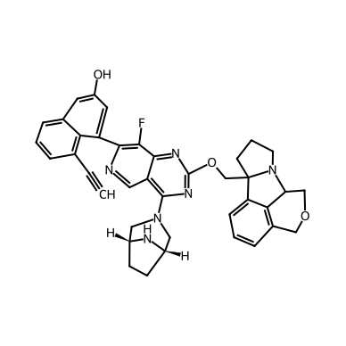 C#Cc1cccc2cc(O)cc(-c3ncc4c(N5C[C@H]6CC[C@@H](C5)N6)nc(OCC56CCCN5C5COCc7cccc6c75)nc4c3F)c12